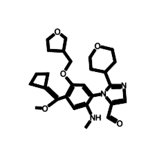 CNc1cc(C(OC)=C2CCC2)c(OCC2CCOC2)cc1-n1c(C=O)cnc1C1CCOCC1